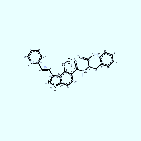 COc1c(C(=O)NC(Cc2ccccc2)C(N)=O)ccc2[nH]nc(/C=C/c3ccccn3)c12